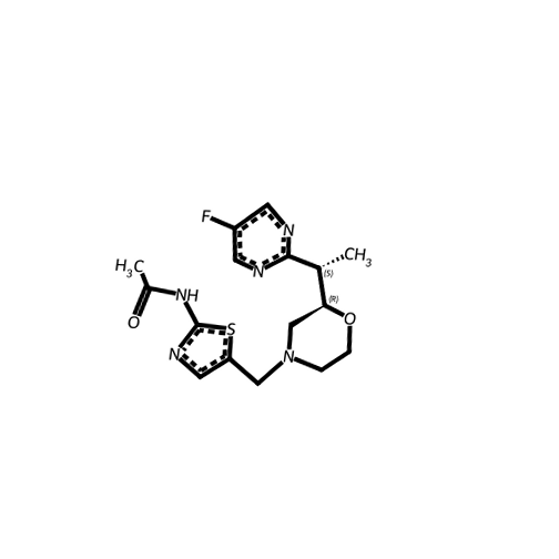 CC(=O)Nc1ncc(CN2CCO[C@H]([C@@H](C)c3ncc(F)cn3)C2)s1